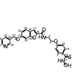 O=C(NCCOc1ccc(C(=S)NO)cc1)c1cc2ccc(OCc3cccnc3)cc2o1